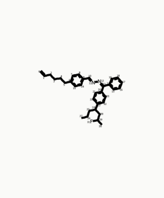 C=CCCCCc1ccc(C=NN=C(c2ccccc2)c2ccc(C(CCC)CC(C)F)cc2)cc1